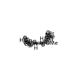 CCC1C(=O)N(C)c2cnc(Nc3ccc(C(=O)NCCCCNC(=O)COc4cccc5c4C(=O)N(C4CCC(=O)NC4=O)C5=O)cc3OC)nc2N1C1CCCC1